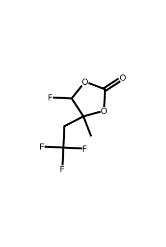 CC1(CC(F)(F)F)OC(=O)OC1F